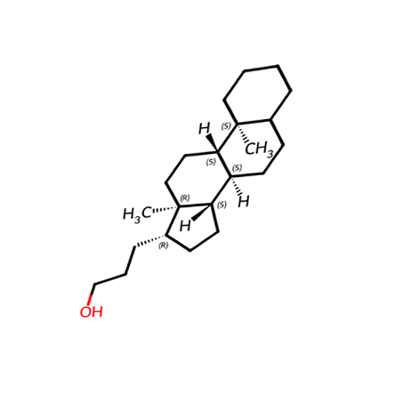 C[C@]12CC[C@H]3[C@@H](CCC4CCCC[C@@]43C)[C@@H]1CC[C@@H]2CCCO